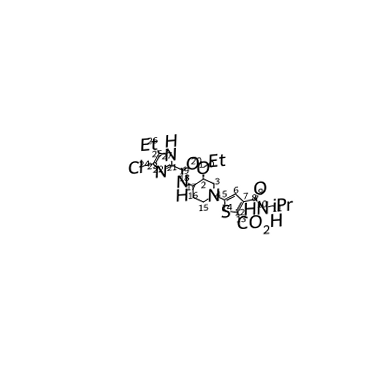 CCO[C@H]1CN(c2cc(C(=O)NC(C)C)c(C(=O)O)s2)CC[C@H]1NC(=O)c1nc(Cl)c(CC)[nH]1